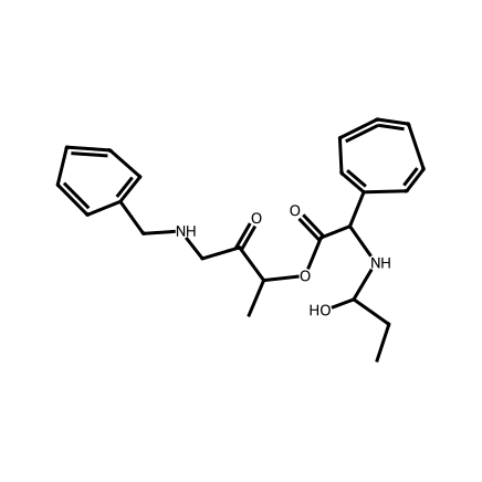 CCC(O)NC(C(=O)OC(C)C(=O)CNCc1ccccc1)C1=CC=C=CC=C1